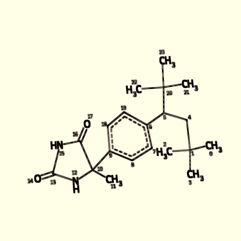 CC(C)(C)CC(c1ccc(C2(C)NC(=O)NC2=O)cc1)C(C)(C)C